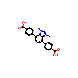 Cn1c[n+](C)c2c(-c3ccc(C(=O)O)cc3)ccc(-c3ccc(C(=O)O)cc3)c21